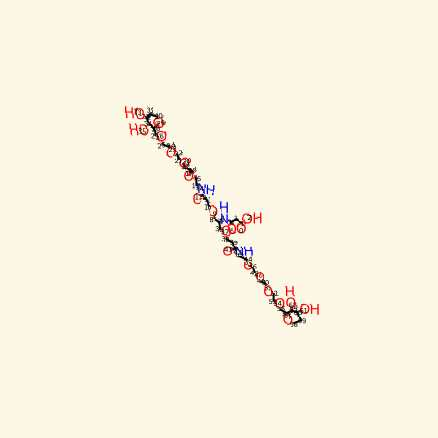 O=C(O)CC(=O)NC(COCCC(=O)NCCOCCOCCOCCOCC1OCCC(O)C1O)COCCC(=O)NCCOCCOCCOCCOCC1OCCC(O)C1O